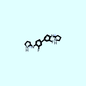 Fc1cc(-c2ccc(/N=C3\CCCN3)c(F)c2)ccc1/N=C1/CCCN1